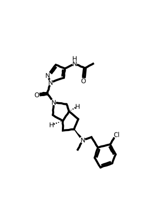 CC(=O)Nc1cnn(C(=O)N2C[C@H]3C[C@@H](N(C)Cc4ccccc4Cl)C[C@H]3C2)c1